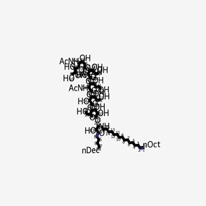 CCCCCCCC/C=C\CCCCCCCCCCCCCC(=O)N[C@@H](CO[C@@H]1OC(CO)[C@@H](O[C@@H]2OC(CO)[C@H](O)[C@H](O[C@@H]3OC(CO)[C@@H](O)[C@H](O[C@@H]4OC(CO)[C@H](O)[C@H](O[C@]5(C(=O)O)CC(O)[C@@H](NC(C)=O)C([C@H](O)[C@H](O)CO)O5)C4O)C3NC(C)=O)C2O)[C@H](O)C1O)[C@H](O)/C=C/CCCCCCCCCCCCC